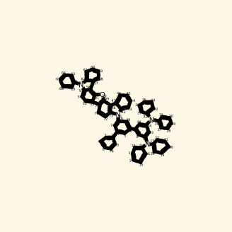 c1ccc(-c2cc(-c3cc(N(c4ccccc4)c4ccccc4)cc(N(c4ccccc4)c4ccccc4)c3)cc(-n3c4ccccc4c4c5oc6c(ccc7c6c6ccccc6n7-c6ccccc6)c5ccc43)c2)cc1